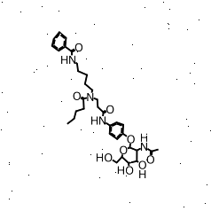 CCCCC(=O)N(CCCCCNC(=O)c1ccccc1)CCC(=O)Nc1ccc(OC2OC(CO)C(O)C(O)C2NC(C)=O)cc1